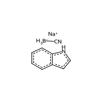 [BH3-]C#N.[Na+].c1ccc2[nH]ccc2c1